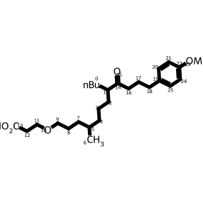 CCCCC(CCCC(C)CCCOCCC(=O)O)C(=O)CCCc1ccc(OC)cc1